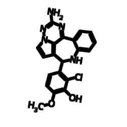 COc1ccc(C2Nc3ccccc3-c3nc(N)nn4ccc2c34)c(Cl)c1O